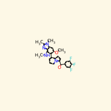 CNc1c(-c2cccn3c(C(=O)c4cc(F)c(F)c(F)c4)ccc23)c(OC)cc2c1nc(C)n2C